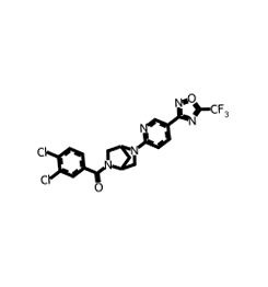 O=C(c1ccc(Cl)c(Cl)c1)N1CC2CC1CN2c1ccc(-c2noc(C(F)(F)F)n2)cn1